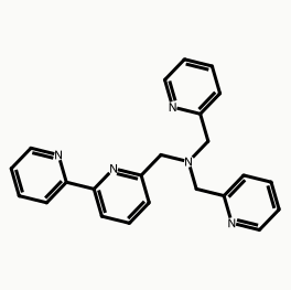 c1ccc(CN(Cc2ccccn2)Cc2cccc(-c3ccccn3)n2)nc1